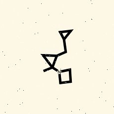 CC1(N2CCC2)CC1CC1[CH]C1